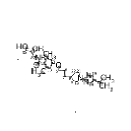 Cc1cc(OCCCC2CCN(c3ncc(C(C)C)cn3)CC2)cc(C)c1C(=O)NC[C@H](O)CO